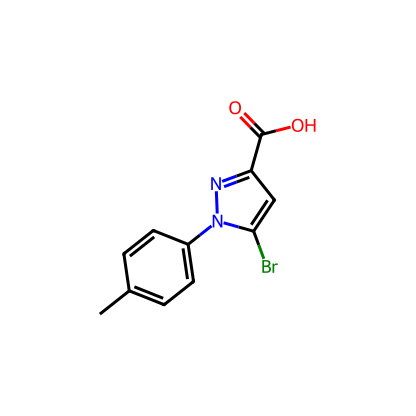 Cc1ccc(-n2nc(C(=O)O)cc2Br)cc1